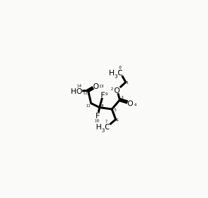 CCOC(=O)C(CC)C(F)(F)CC(=O)O